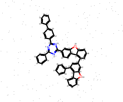 c1ccc(-c2ccc(-c3nc(-c4ccccc4)nc(-c4ccc5c(c4)oc4cccc(-c6cc(-c7ccccc7)c7c(c6)oc6ccccc67)c45)n3)cc2)cc1